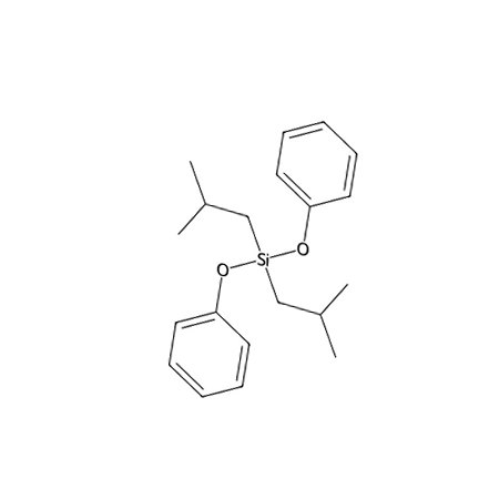 CC(C)C[Si](CC(C)C)(Oc1ccccc1)Oc1ccccc1